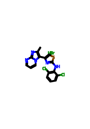 Br.Cc1nc2ncccn2c1-c1csc(Nc2c(Cl)cccc2Cl)n1